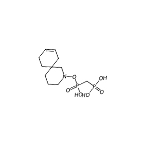 O=P(O)(O)CP(=O)(O)ON1CCCC2(CC=CCC2)C1